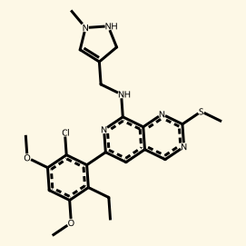 CCc1c(OC)cc(OC)c(Cl)c1-c1cc2cnc(SC)nc2c(NCC2=CN(C)NC2)n1